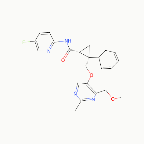 COCc1nc(C)ncc1OC[C@@]1(C2C=CC=CC2)C[C@H]1C(=O)Nc1ccc(F)cn1